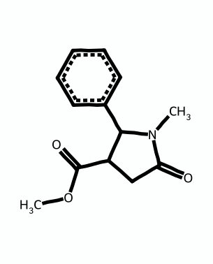 COC(=O)C1CC(=O)N(C)C1c1ccccc1